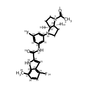 CC(=O)N1CC[C@H]2[C@@H]1CCN2c1cc(F)cc(NC(=O)c2cc3c(F)ccc(C)c3[nH]2)c1